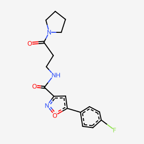 O=C(NCCC(=O)N1CCCC1)c1cc(-c2ccc(F)cc2)on1